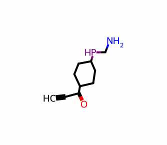 C#CC(=O)C1CCC(PCN)CC1